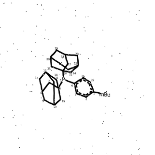 CCCCc1ccc(P(C23CC4CC(CC(C4)C2)C3)C23CC4CC(CC(C4)C2)C3)cc1